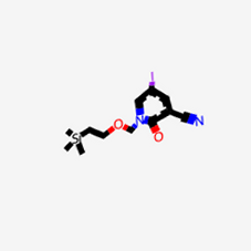 C[Si](C)(C)CCOCn1cc(I)cc(C#N)c1=O